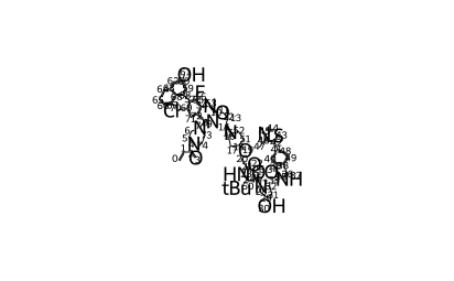 C=CC(=O)N1CCN(c2nc(O[C@H](C)CN3CCC(OCC(=O)N[C@H](C(=O)N4C[C@H](O)C[C@H]4C(=O)N[C@@H](C)c4ccc(-c5scnc5C)cc4)C(C)(C)C)CC3)nc3c(F)c(-c4cc(O)cc5ccccc45)c(Cl)cc23)CC1